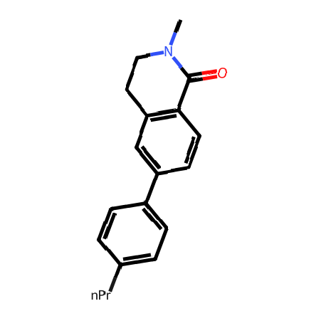 CCCc1ccc(-c2ccc3c(c2)CCN(C)C3=O)cc1